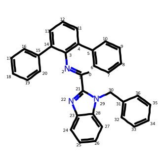 CC(=Nc1c(-c2ccccc2)cccc1-c1ccccc1)c1nc2ccccc2n1Cc1ccccc1